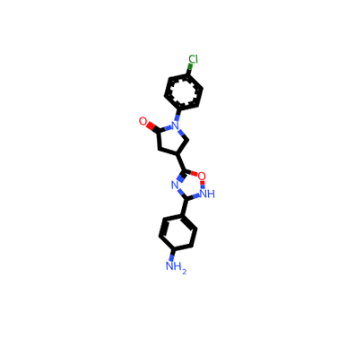 NC1C=CC(C2N=C(C3CC(=O)N(c4ccc(Cl)cc4)C3)ON2)=CC1